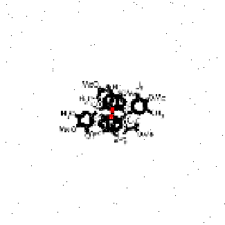 COC(=O)C(C)Oc1c(Cl)ccc(P(=O)(c2cc(C)c(OC)c(C)c2)c2cc(C)c(OC)c(C)c2)c1-c1c(P(=O)(c2cc(C)c(OC)c(C)c2)c2cc(C)c(OC)c(C)c2)ccc(Cl)c1O[C@@H](C)C(=O)OC